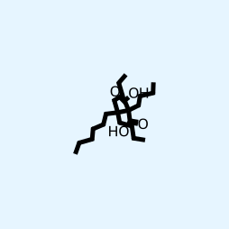 CCCCCCC(CCCC)(CCCC)C(CCCC)(C(=O)O)C(=O)O